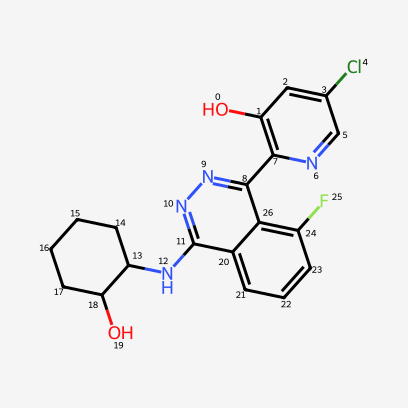 Oc1cc(Cl)cnc1-c1nnc(NC2CCCCC2O)c2cccc(F)c12